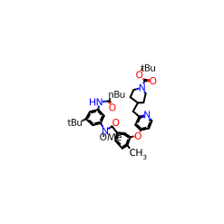 CCCCC(=O)Nc1cc(N(OC)C(=O)c2ccc(C)c(Oc3ccnc(CC4CCN(C(=O)OC(C)(C)C)CC4)c3)c2)cc(C(C)(C)C)c1